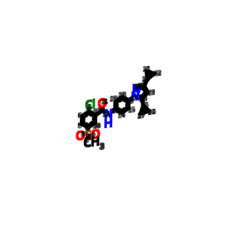 CS(=O)(=O)c1ccc(Cl)c(C(=O)Nc2ccc(-n3nc(C4CC4)cc3C3CC3)cc2)c1